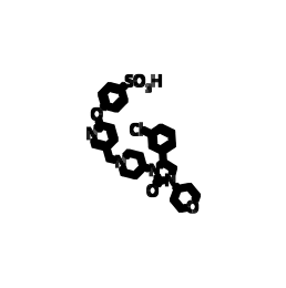 O=C1N(C2CCOCC2)CC(c2cccc(Cl)c2)N1C1CCN(Cc2ccc(Oc3ccc(S(=O)(=O)O)cc3)nc2)CC1